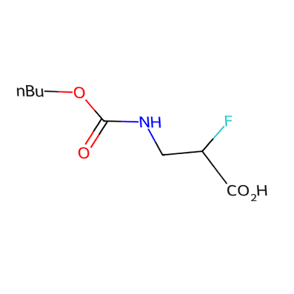 CCCCOC(=O)NCC(F)C(=O)O